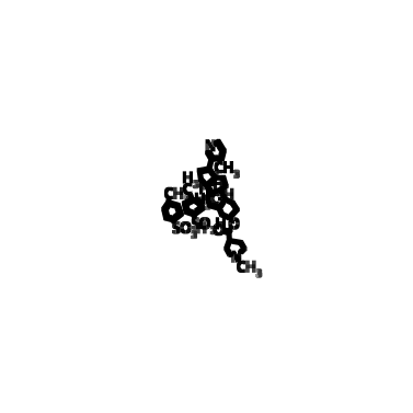 CN1CCC(C(=O)O[C@H]2CC[C@@]3(C)C(=CC[C@@H]4[C@@H]3CC[C@]3(C)C(c5cccnc5)=CC[C@@H]43)C2)CC1.Cc1ccc(S(=O)(=O)O)cc1.Cc1ccc(S(=O)(=O)O)cc1